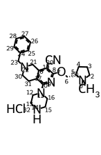 CN1CCC[C@H]1COc1nc(N2CCNCC2)c2c(c1C#N)CN(Cc1ccccc1)CC2.Cl